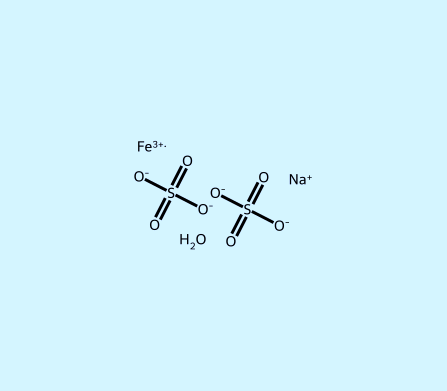 O.O=S(=O)([O-])[O-].O=S(=O)([O-])[O-].[Fe+3].[Na+]